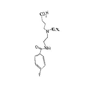 CCN(CCCC(=O)O)CCNC(=O)c1ccc(F)cc1